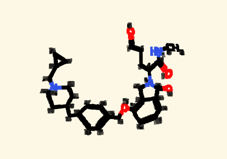 CNC(=O)C(CCC=O)N1Cc2c(OCc3ccc(CC4CCN(CC5CC5)CC4)cc3)cccc2C1=O